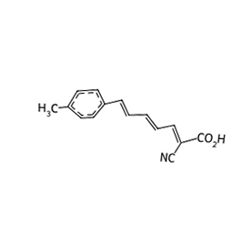 Cc1ccc(/C=C/C=C/C=C(\C#N)C(=O)O)cc1